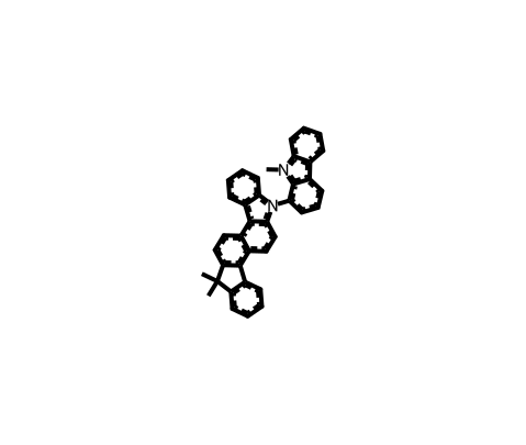 Cn1c2ccccc2c2cccc(-n3c4ccccc4c4c5ccc6c(c5ccc43)-c3ccccc3C6(C)C)c21